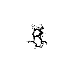 CC1=NCC(F)c2cc(F)c(C)cc21